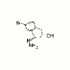 NN=C1CC(O)Cc2ccc(Br)cc21